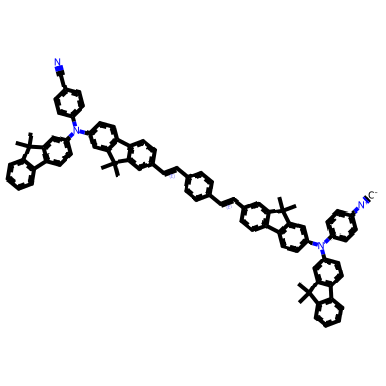 [C-]#[N+]c1ccc(N(c2ccc3c(c2)C(C)(C)c2ccccc2-3)c2ccc3c(c2)C(C)(C)c2cc(/C=C/c4ccc(/C=C/c5ccc6c(c5)C(C)(C)c5cc(N(c7ccc(C#N)cc7)c7ccc8c(c7)C(C)(C)c7ccccc7-8)ccc5-6)cc4)ccc2-3)cc1